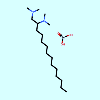 CCCCCCCCCCCCC(CN(C)C)N(C)C.O=[Se](O)O